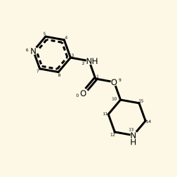 O=C(Nc1ccncc1)OC1CCNCC1